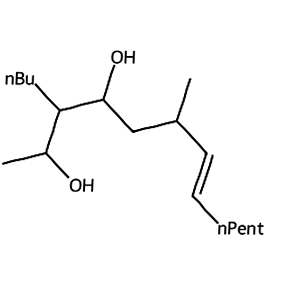 CCCCCC=CC(C)CC(O)C(CCCC)C(C)O